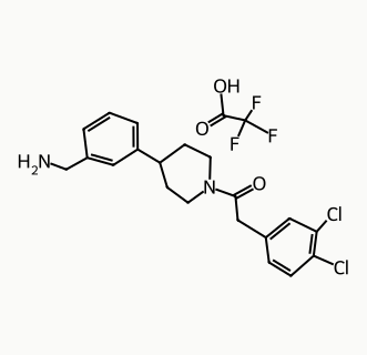 NCc1cccc(C2CCN(C(=O)Cc3ccc(Cl)c(Cl)c3)CC2)c1.O=C(O)C(F)(F)F